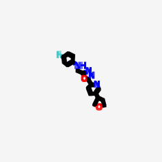 Fc1ccc(NCc2nnc(-c3ccc(C4CCOC4)cn3)o2)cc1